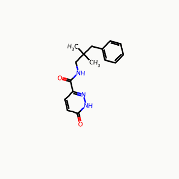 CC(C)(CNC(=O)c1ccc(=O)[nH]n1)Cc1ccccc1